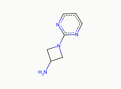 NC1CN(c2ncccn2)C1